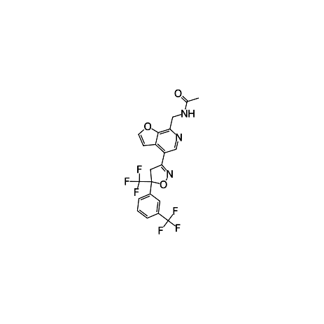 CC(=O)NCc1ncc(C2=NOC(c3cccc(C(F)(F)F)c3)(C(F)(F)F)C2)c2ccoc12